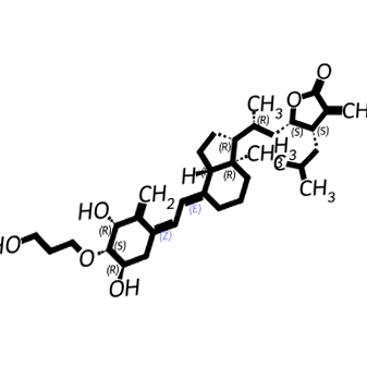 C=C1/C(=C\C=C2/CCC[C@]3(C)[C@@H]([C@H](C)C[C@@H]4OC(=O)C(=C)[C@@H]4CC(C)C)CC[C@@H]23)C[C@@H](O)[C@H](OCCCO)[C@@H]1O